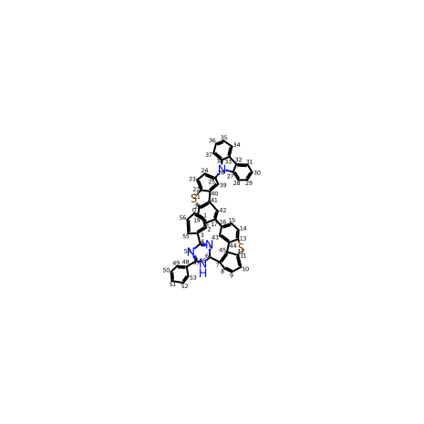 c1ccc(C2=NC(c3cccc4sc5ccc(-c6ccc7sc8ccc(-n9c%10ccccc%10c%10ccccc%109)cc8c7c6)cc5c34)NC(c3ccccc3)=N2)cc1